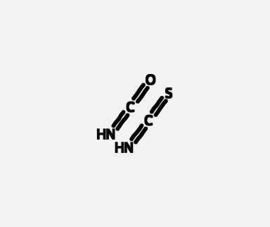 N=C=O.N=C=S